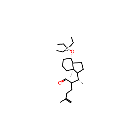 C=C(C)CCC(C=O)[C@@H](C)C1CCC2[C@@H](O[Si](CC)(CC)CC)CCC[C@]12C